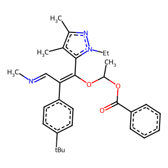 CCn1nc(C)c(C)c1/C(OC(C)OC(=O)c1ccccc1)=C(\C=N\C)c1ccc(C(C)(C)C)cc1